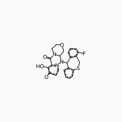 O=C1c2c(O)c(=O)ccn2N(C2c3ccccc3SCc3c(F)cccc32)C2COCCN12